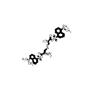 CN(C)c1cccc2c(S(=O)(=O)OC(=O)[C@@H](N)CSSC[C@H](N)C(=O)OS(=O)(=O)c3cccc4c(N(C)C)cccc34)cccc12